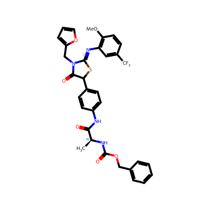 COc1ccc(C(F)(F)F)cc1/N=C1\SC(c2ccc(NC(=O)[C@H](C)NC(=O)OCc3ccccc3)cc2)C(=O)N1Cc1ccco1